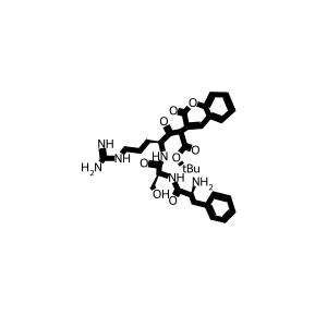 CC(C)(C)OC(=O)C(C(=O)[C@H](CCCNC(=N)N)NC(=O)[C@H](CO)NC(=O)[C@@H](N)Cc1ccccc1)c1cc2ccccc2oc1=O